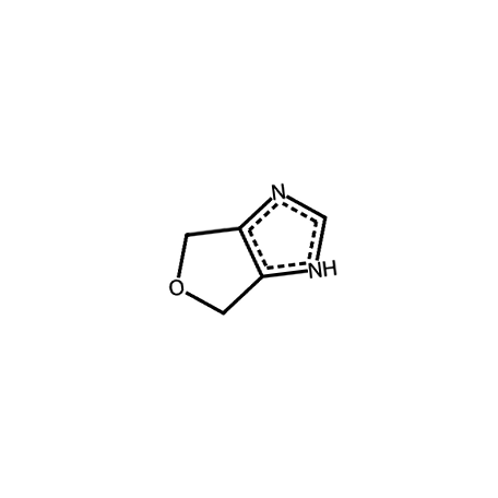 c1nc2c([nH]1)COC2